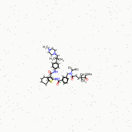 CCC(CC)N(Cc1cccc(C(=O)Nc2sc3c(c2C(=O)Nc2ccc(C(C)(C)CN4CCN(C)CC4)cc2)CCCC3)c1)C(=O)CCC(C)(C)C(=O)OC